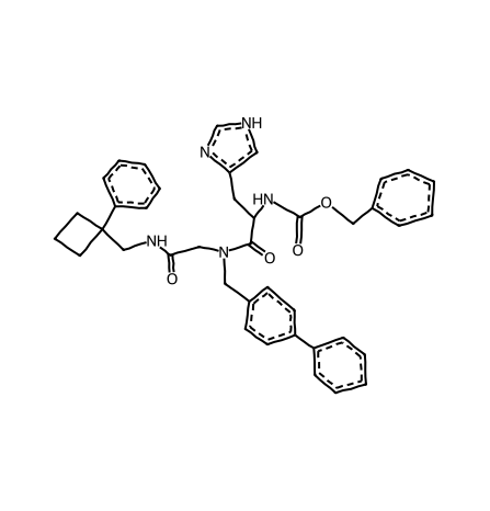 O=C(CN(Cc1ccc(-c2ccccc2)cc1)C(=O)C(Cc1c[nH]cn1)NC(=O)OCc1ccccc1)NCC1(c2ccccc2)CCC1